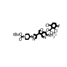 C[C@@H](Oc1c(N)ncc2c(-c3cnn(C4CCN(C(=O)OC(C)(C)C)CC4)c3)coc12)c1c(Cl)ccc(F)c1Cl